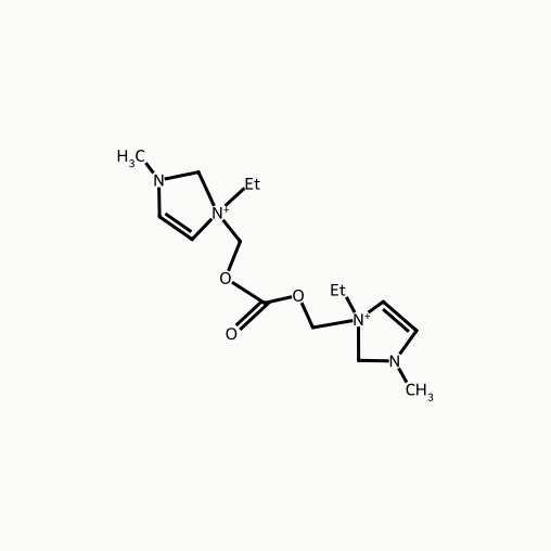 CC[N+]1(COC(=O)OC[N+]2(CC)C=CN(C)C2)C=CN(C)C1